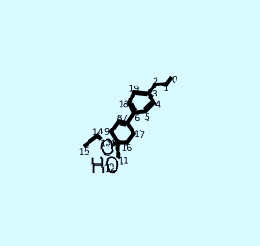 CCCc1ccc(C2=CCC(CO)(OCC)CC2)cc1